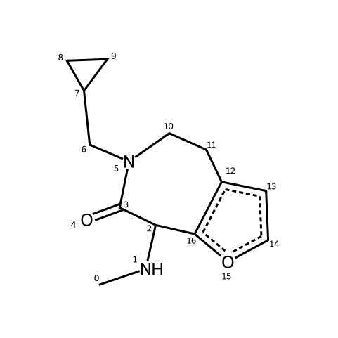 CNC1C(=O)N(CC2CC2)CCc2ccoc21